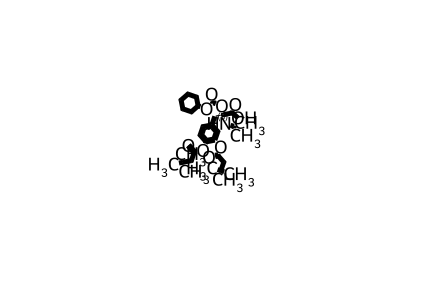 CC(C)N[C@@](Cc1ccc(OC(=O)CC(C)(C)C)c(OC(=O)CC(C)(C)C)c1)(OC(=O)OC1CCCCC1)C(=O)O